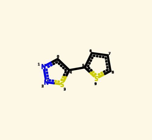 [c]1nnsc1-c1cccs1